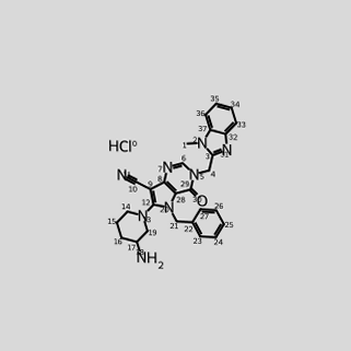 Cl.Cn1c(Cn2cnc3c(C#N)c(N4CCCC(N)C4)n(Cc4ccccc4)c3c2=O)nc2ccccc21